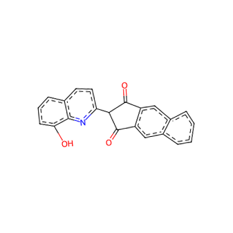 O=C1c2cc3ccccc3cc2C(=O)C1c1ccc2cccc(O)c2n1